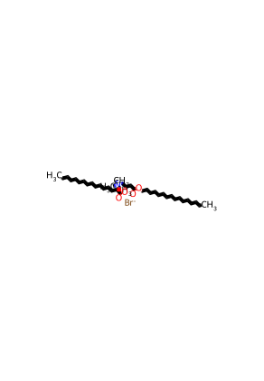 CCCCCCCCCCCCCCCCOC(=O)CC(C[N+](C)(C)C)OC(=O)CCCCCCCCCCCCCCC.[Br-]